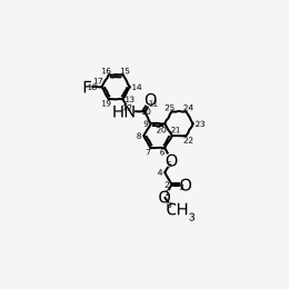 COC(=O)COc1ccc(C(=O)Nc2cccc(F)c2)c2c1CCCC2